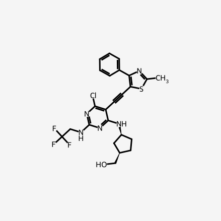 Cc1nc(-c2ccccc2)c(C#Cc2c(Cl)nc(NCC(F)(F)F)nc2N[C@H]2CC[C@@H](CO)C2)s1